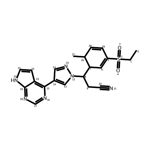 CCS(=O)(=O)C1=CC(C(CC#N)n2cc(-c3ncnc4[nH]ccc34)cn2)C(C)C=C1